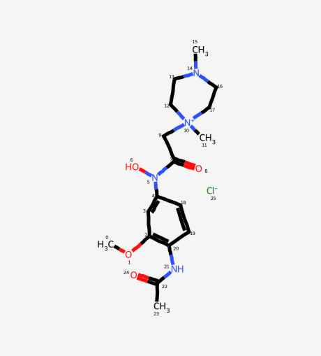 COc1cc(N(O)C(=O)C[N+]2(C)CCN(C)CC2)ccc1NC(C)=O.[Cl-]